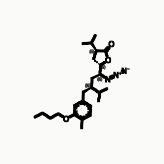 CCCCOc1cc(C[C@@H](C[C@H](N=[N+]=[N-])[C@@H]2C[C@@H](C(C)C)C(=O)O2)C(C)C)ccc1C